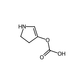 O=C(O)OC1=CNCC1